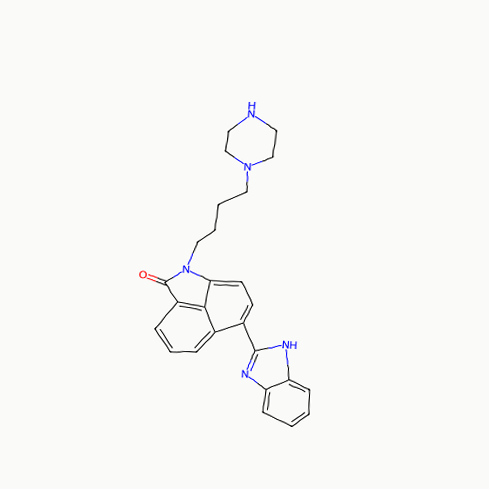 O=C1c2cccc3c(-c4nc5ccccc5[nH]4)ccc(c23)N1CCCCN1CCNCC1